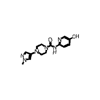 Cn1cc(N2CCN(C(=O)Nc3ccc(O)cn3)CC2)cn1